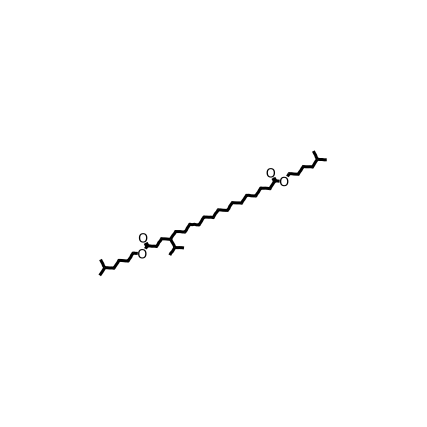 CC(C)CCCCOC(=O)CCCCCCCCCCCCCCC(CCC(=O)OCCCCC(C)C)C(C)C